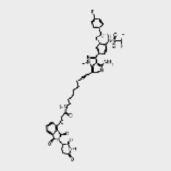 C[C@H](Oc1cc(-c2nn(C)c3c(C#CCCCCCCNC(=O)COc4cccc5c4C(=O)N(C4CCC(=O)NC4=O)C5=O)cnc(N)c23)ccc1NS(=O)(=O)C(F)F)c1ccc(F)cc1